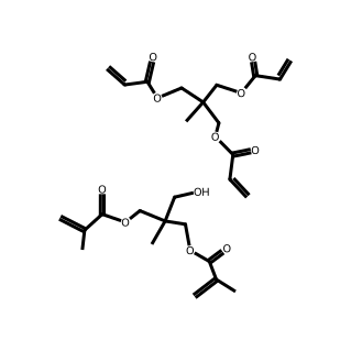 C=C(C)C(=O)OCC(C)(CO)COC(=O)C(=C)C.C=CC(=O)OCC(C)(COC(=O)C=C)COC(=O)C=C